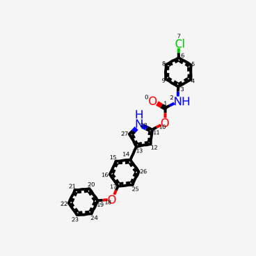 O=C(Nc1ccc(Cl)cc1)Oc1cc(-c2ccc(Oc3ccccc3)cc2)c[nH]1